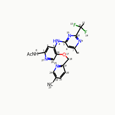 CC(=O)Nc1cc(Nc2cc(C)nc(C(C)(F)F)n2)c(OCc2ccc(C#N)cn2)cn1